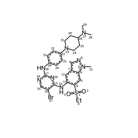 CCS(=O)(=O)c1cc2c(cnn2C)cc1Nc1nc(Nc2ccc(N3CCC(N(C)C)CC3)cc2)ncc1Br